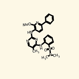 COc1nc(-c2ccccc2)ccc1Nc1ncc(C)c(Nc2ccccc2S(=O)(=O)N(C)C)n1